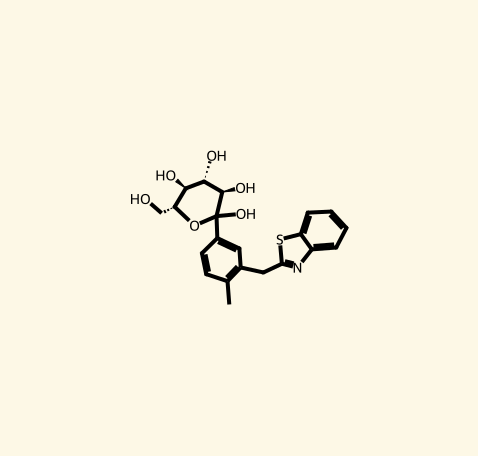 Cc1ccc(C2(O)O[C@H](CO)[C@@H](O)[C@H](O)[C@H]2O)cc1Cc1nc2ccccc2s1